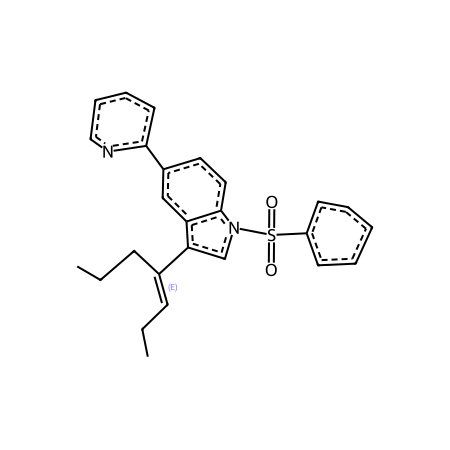 CC/C=C(\CCC)c1cn(S(=O)(=O)c2ccccc2)c2ccc(-c3ccccn3)cc12